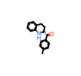 Cc1ccc(C(=O)[C@H]2CCc3ccccc3N2)cc1